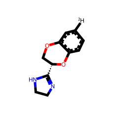 [2H]c1ccc2c(c1)OC[C@@H](C1=NCCN1)O2